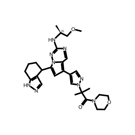 COC[C@H](C)Nc1ncc2c(-c3cnn(C(C)(C)C(=O)N4CCOCC4)c3)cc(C3CCCc4[nH]ncc43)n2n1